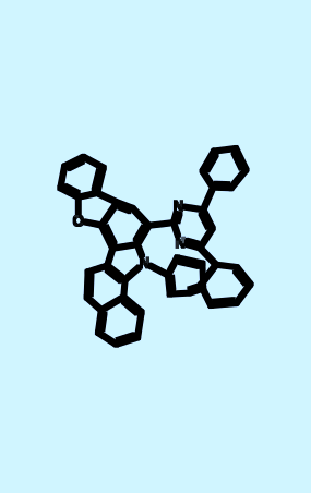 C1=CCC(c2cc(-c3ccccc3)nc(-c3cc4c5ccccc5oc4c4c5ccc6ccccc6c5n(-c5ccccc5)c34)n2)C=C1